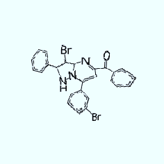 O=C(C1=NC2C(Br)C(c3ccccc3)NN2C(c2cccc(Br)c2)=C1)c1ccccc1